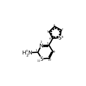 NC1N=C(c2cccs2)C=CS1